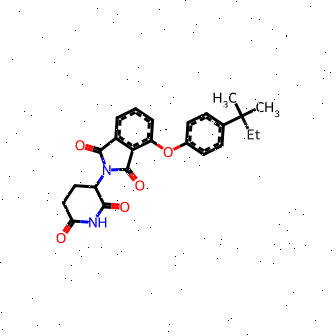 CCC(C)(C)c1ccc(Oc2cccc3c2C(=O)N(C2CCC(=O)NC2=O)C3=O)cc1